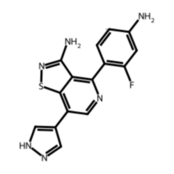 Nc1[c]cc(-c2ncc(-c3cn[nH]c3)c3snc(N)c23)c(F)c1